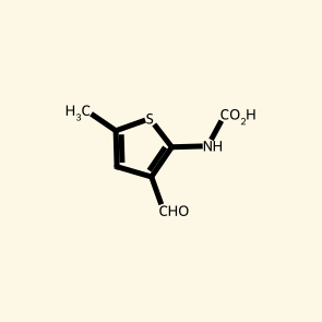 Cc1cc(C=O)c(NC(=O)O)s1